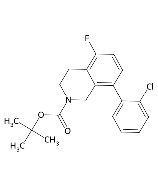 CC(C)(C)OC(=O)N1CCc2c(F)ccc(-c3ccccc3Cl)c2C1